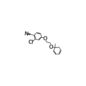 CC1(OCCOc2ccc(C#N)c(Cl)c2)C=CC=CC1